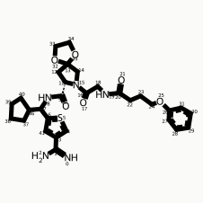 N=C(N)c1csc(C(NC(=O)[C@@H]2CC3(CN2C(=O)CNC(=O)CCCOc2ccccc2)OCCO3)C2CCCC2)c1